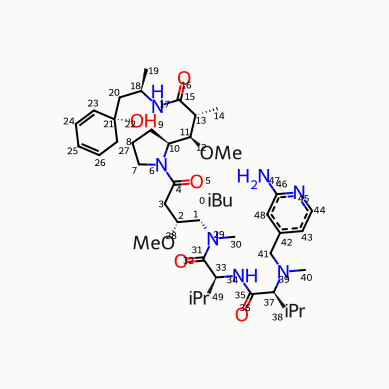 CC[C@H](C)[C@@H]([C@@H](CC(=O)N1CCC[C@H]1[C@H](OC)[C@@H](C)C(=O)N[C@H](C)C[C@]1(O)C=CC=CC1)OC)N(C)C(=O)[C@@H](NC(=O)[C@H](C(C)C)N(C)Cc1ccnc(N)c1)C(C)C